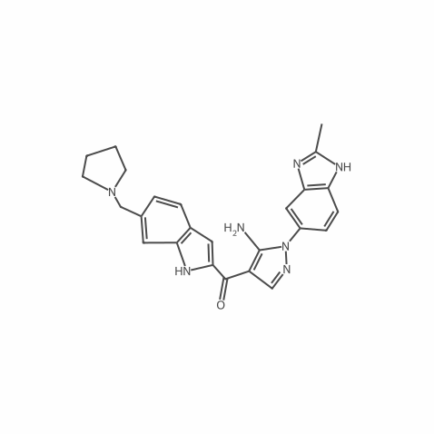 Cc1nc2cc(-n3ncc(C(=O)c4cc5ccc(CN6CCCC6)cc5[nH]4)c3N)ccc2[nH]1